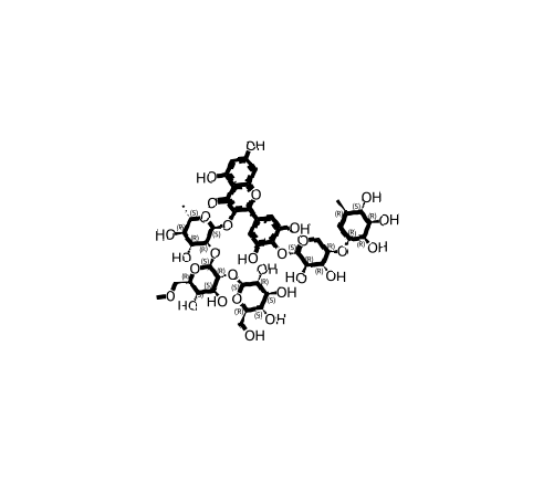 COC[C@H]1O[C@@H](O[C@H]2[C@H](Oc3c(-c4cc(O)c(O[C@@H]5OC[C@@H](O[C@@H]6C[C@@H](C)[C@H](O)[C@@H](O)[C@H]6O)[C@H](O)[C@H]5O)c(O)c4)oc4cc(O)cc(O)c4c3=O)O[C@@H](C)[C@H](O)[C@H]2O)[C@H](O[C@@H]2O[C@H](CO)[C@@H](O)[C@H](O)[C@H]2O)[C@@H](O)[C@@H]1O